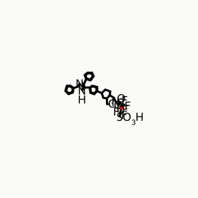 O=S(=O)(O)C(F)(F)C(F)(F)C(F)(F)S(=O)(=O)N1CCC2CC(c3ccc(-c4[nH]c(-c5ccccc5)nc4-c4ccccc4)cc3)CCC2C1